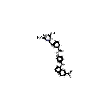 C=C(N)/C=C(\N=C(N)N)Nc1cccc(C(=O)Nc2ccc(Nc3ccnc4ccc([N+](=O)[O-])cc34)cc2)c1